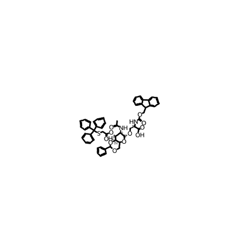 CC(=O)N[C@H]1[C@H](OC[C@@H](NC(=O)OCC2c3ccccc3-c3ccccc32)C(=O)O)OC2COC(c3ccccc3)O[C@H]2[C@@H]1OC(=O)CSC(c1ccccc1)(c1ccccc1)c1ccccc1